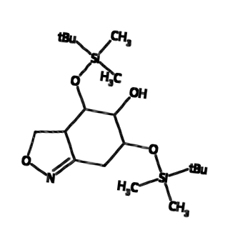 CC(C)(C)[Si](C)(C)OC1CC2=NOCC2C(O[Si](C)(C)C(C)(C)C)C1O